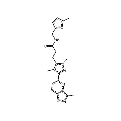 Cc1ccc(CNC(=O)CCc2c(C)nn(-c3ccc4nnc(C)n4n3)c2C)o1